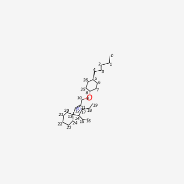 CCCCC[C@H]1CC[C@H](OC/C=C/C2(C(CC)CCC)CCCCC2)CC1